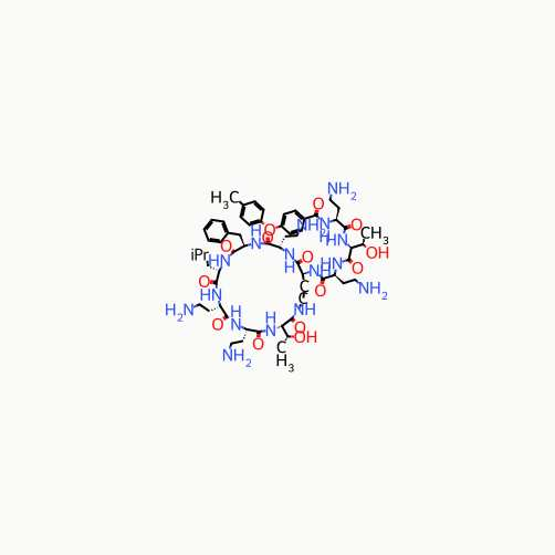 Cc1ccc(Oc2ccc(C(=O)N[C@@H](CCN)C(=O)N[C@H](C(=O)N[C@@H](CCN)C(=O)N[C@H]3CCNC(=O)[C@H]([C@@H](C)O)NC(=O)[C@H](CCN)NC(=O)[C@H](CCN)NC(=O)[C@H](CC(C)C)NC(=O)[C@@H](Cc4ccccc4)NC(=O)[C@H](CCN)NC3=O)[C@@H](C)O)cc2)cc1